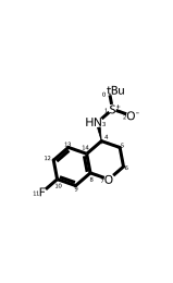 CC(C)(C)[S+]([O-])N[C@H]1CCOc2cc(F)ccc21